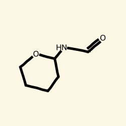 O=[C]NC1CCCCO1